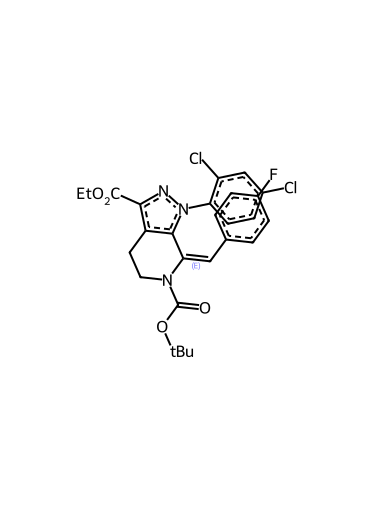 CCOC(=O)c1nn(-c2ccc(Cl)cc2Cl)c2c1CCN(C(=O)OC(C)(C)C)/C2=C/c1ccc(F)cc1